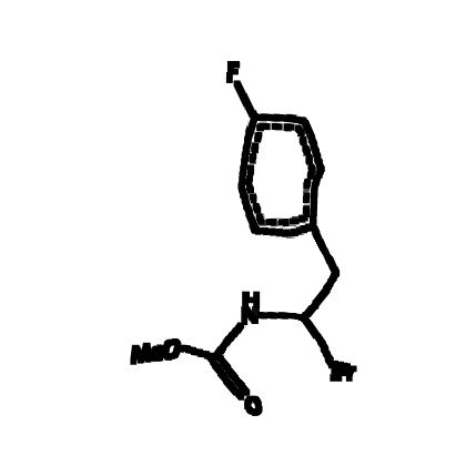 COC(=O)NC(Cc1ccc(F)cc1)C(C)C